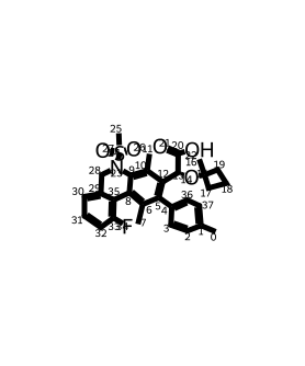 Cc1ccc(-c2c(C)c3c(c(C)c2[C@H](OC2(C)CCC2)C(=O)O)N(S(C)(=O)=O)Cc2cccc(F)c2-3)cc1